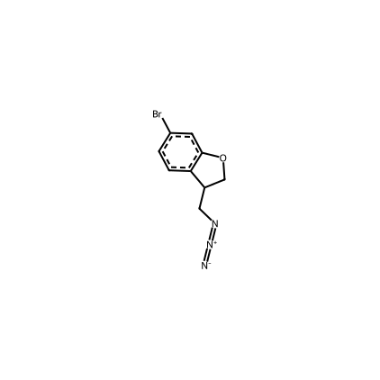 [N-]=[N+]=NCC1COc2cc(Br)ccc21